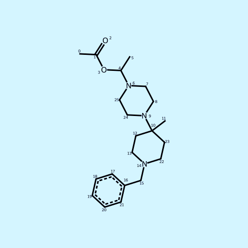 CC(=O)OC(C)N1CCN(C2(C)CCN(Cc3ccccc3)CC2)CC1